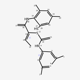 C=C(C)/C=C(\C=C(C)C)NC(=C)S/C(=C\C)C(=C)Nc1c(C)cc(C)cc1S